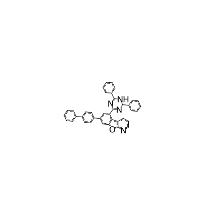 c1ccc(C2=NC(c3cc(-c4ccc(-c5ccccc5)cc4)cc4oc5ncccc5c34)=NC(c3ccccc3)N2)cc1